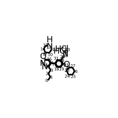 CCCCc1nnc(OC2CCNCC2)cc1-c1ccc(OC2CCCCC2)c(C#N)c1.Cl.Cl